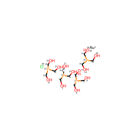 OCP(CO)CO.OCP(CO)CO.OCP(CO)CO.OCP(CO)CO.[Au+].[Cl-]